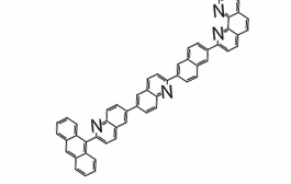 c1ccc2c(-c3ccc4cc(-c5ccc6nc(-c7ccc8cc(-c9ccc%10ccc%11cccnc%11c%10n9)ccc8c7)ccc6c5)ccc4n3)c3ccccc3cc2c1